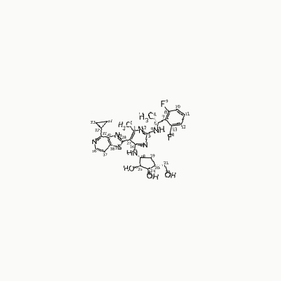 Cc1nc(N[C@H](C)c2c(F)cccc2F)nc(N[C@@H]2C[C@H](CO)[C@@H](O)[C@H]2O)c1-c1nc2c(C3CC3)nccc2s1